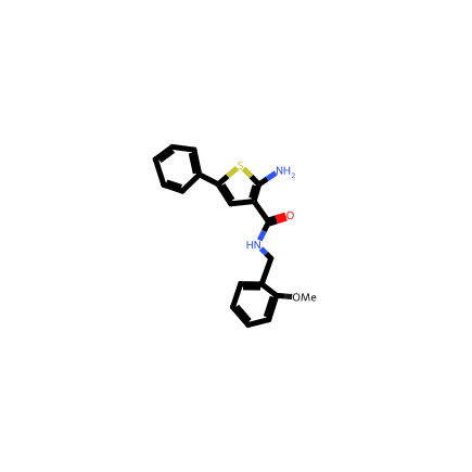 COc1ccccc1CNC(=O)c1cc(-c2ccccc2)sc1N